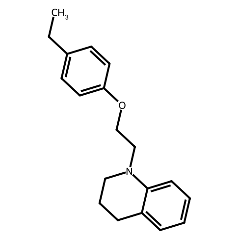 CCc1ccc(OCCN2CCCc3ccccc32)cc1